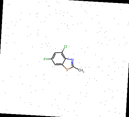 Cc1nc2c(Cl)cc(F)cc2s1